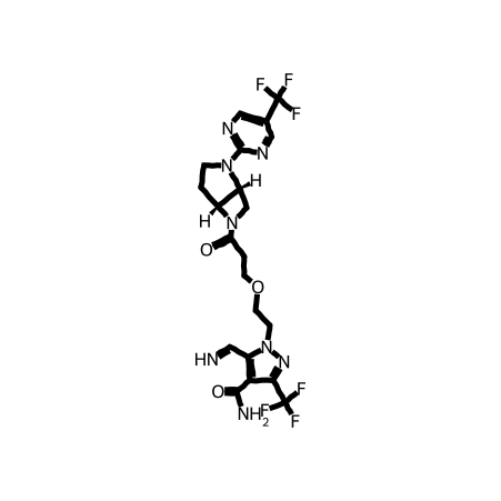 N=Cc1c(C(N)=O)c(C(F)(F)F)nn1CCOCCC(=O)N1C[C@@H]2[C@H]1CCN2c1ncc(C(F)(F)F)cn1